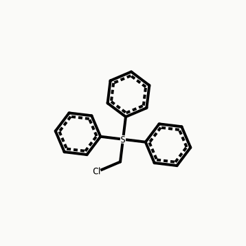 ClCS(c1ccccc1)(c1ccccc1)c1ccccc1